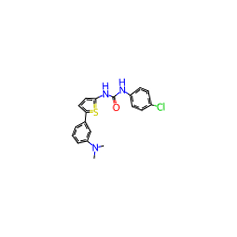 CN(C)c1cccc(-c2ccc(NC(=O)Nc3ccc(Cl)cc3)s2)c1